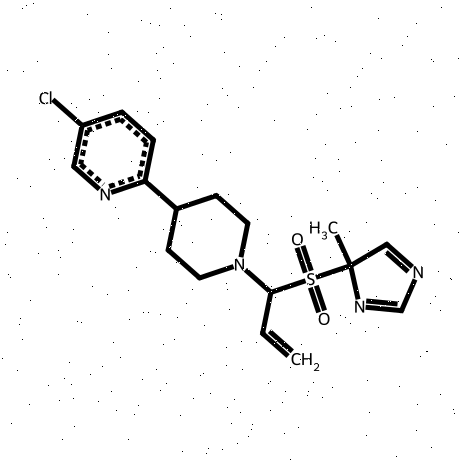 C=CC(N1CCC(c2ccc(Cl)cn2)CC1)S(=O)(=O)C1(C)C=NC=N1